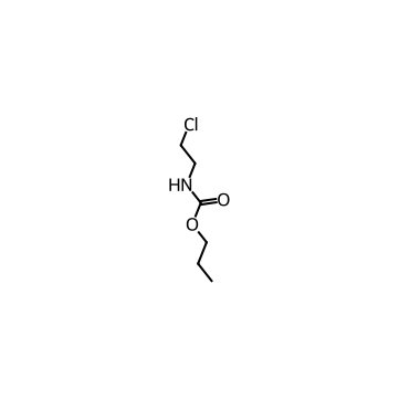 CCCOC(=O)NCCCl